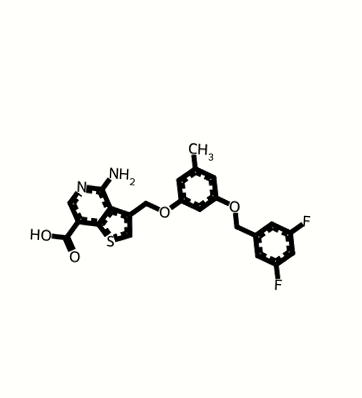 Cc1cc(OCc2cc(F)cc(F)c2)cc(OCc2csc3c(C(=O)O)cnc(N)c23)c1